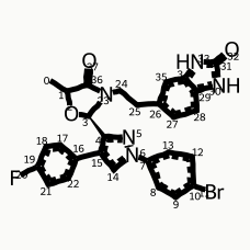 CC1O[C@H](c2nn(-c3ccc(Br)cc3)cc2-c2ccc(F)cc2)N(CCc2ccc3[nH]c(=O)[nH]c3c2)C1=O